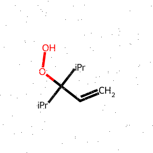 C=CC(OO)(C(C)C)C(C)C